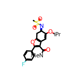 CNC(=O)c1c(-c2ccc(F)cc2)oc2c1C=C(OC(C)C)C(=NS(C)(=O)=O)C2